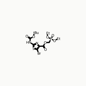 CCOP(=O)(COC(=O)c1nc(NC(=O)OC(C)(C)C)sc1Br)OCC